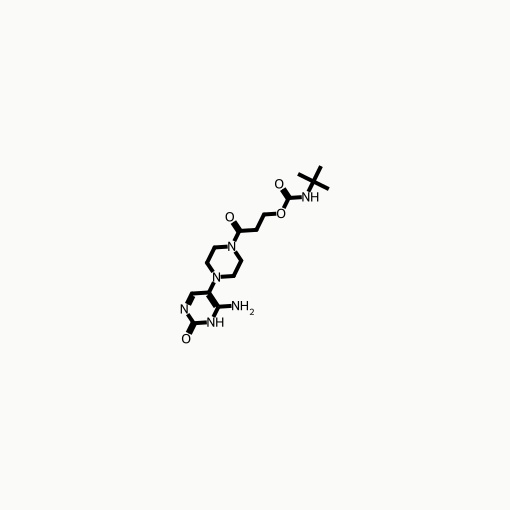 CC(C)(C)NC(=O)OCCC(=O)N1CCN(c2cnc(=O)[nH]c2N)CC1